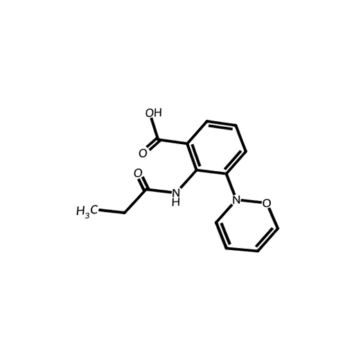 CCC(=O)Nc1c(C(=O)O)cccc1N1C=CC=CO1